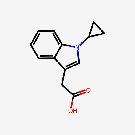 O=C(O)Cc1cn(C2CC2)c2ccccc12